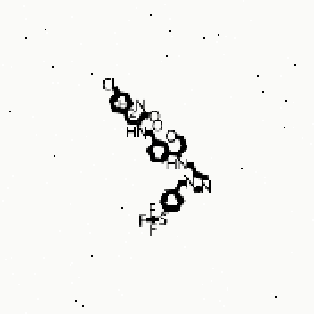 NC(=O)C(Cc1ccc(Cl)cc1)NC(=O)c1cccc2c1OCCC2NCc1cncn1Cc1ccc(SC(F)(F)F)cc1